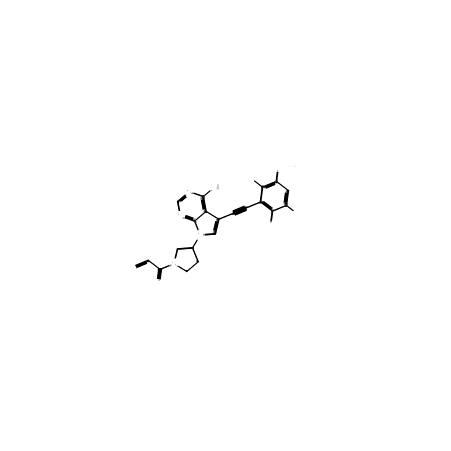 C=CC(=O)N1CCC(n2cc(C#Cc3c(F)c(OC)cc(OC)c3F)c3c(N)ncnc32)C1